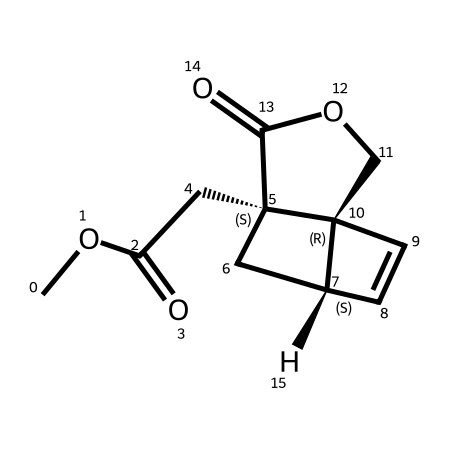 COC(=O)C[C@@]12C[C@H]3C=C[C@]31COC2=O